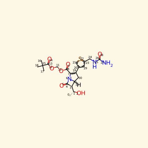 C[C@@H](O)[C@H]1C(=O)N2C(C(=O)OCOC(=O)C(C)(C)C)=C(c3csc(CNC(N)=O)c3)C[C@H]12